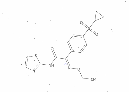 N#CCO/N=C(/C(=O)Nc1nccs1)c1ccc(S(=O)(=O)C2CC2)cc1